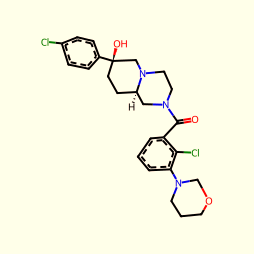 O=C(c1cccc(N2CCCOC2)c1Cl)N1CCN2C[C@@](O)(c3ccc(Cl)cc3)CC[C@@H]2C1